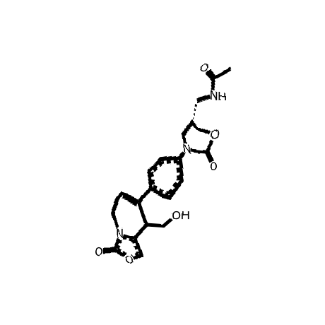 CC(=O)NC[C@H]1CN(c2ccc(C3=CCn4c(coc4=O)C3CO)cc2)C(=O)O1